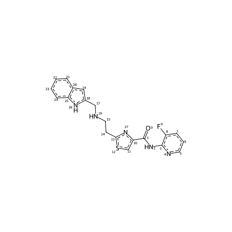 O=C(Nc1ncccc1F)c1csc(CCNCc2cc3ccccc3[nH]2)n1